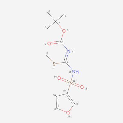 CS/C(=N\C(=O)OC(C)(C)C)NS(=O)(=O)c1ccoc1